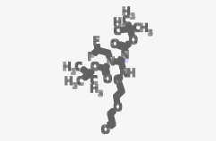 CC(C)(C)OC(=O)/N=C(/NOCCOCC=O)N(CC(F)F)C(=O)OC(C)(C)C